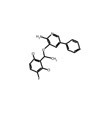 CC(Oc1cc(-c2cc[c]cc2)cnc1N)c1c(Cl)ccc(F)c1Cl